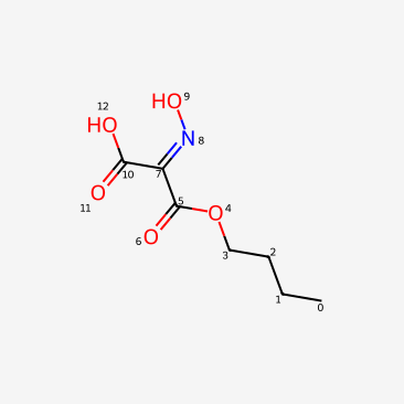 CCCCOC(=O)C(=NO)C(=O)O